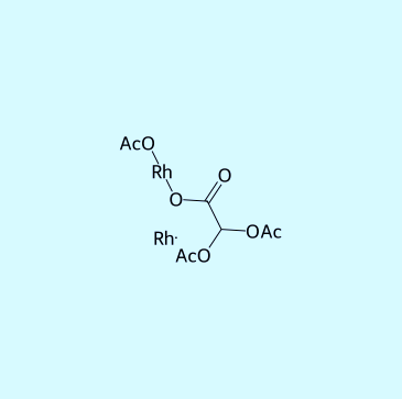 CC(=O)[O][Rh][O]C(=O)C(OC(C)=O)OC(C)=O.[Rh]